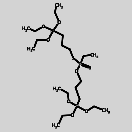 CCO[Si](CCCOP(=S)(CC)SCCC[Si](OCC)(OCC)OCC)(OCC)OCC